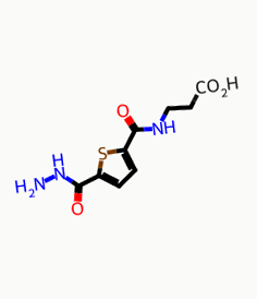 NNC(=O)c1ccc(C(=O)NCCC(=O)O)s1